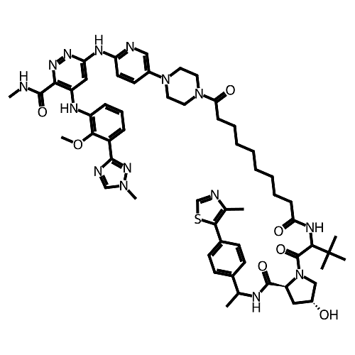 CNC(=O)c1nnc(Nc2ccc(N3CCN(C(=O)CCCCCCCCC(=O)NC(C(=O)N4C[C@H](O)C[C@H]4C(=O)NC(C)c4ccc(-c5scnc5C)cc4)C(C)(C)C)CC3)cn2)cc1Nc1cccc(-c2ncn(C)n2)c1OC